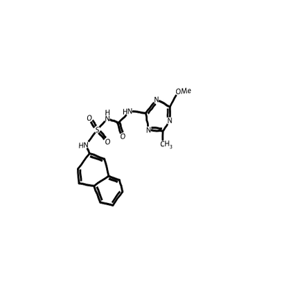 COc1nc(C)nc(NC(=O)NS(=O)(=O)Nc2ccc3ccccc3c2)n1